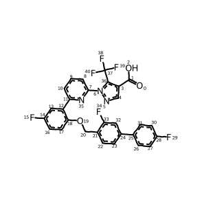 O=C(O)c1cnn(-c2cccc(-c3cc(F)ccc3OCc3ccc(-c4ccc(F)cc4)cc3F)n2)c1C(F)(F)F